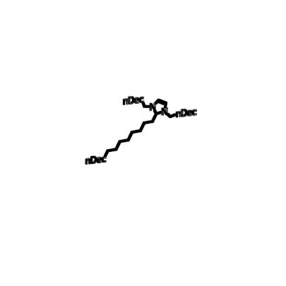 CCCCCCCCCCCCCCCCCCC1N(CCCCCCCCCCC)C=CN1CCCCCCCCCCC